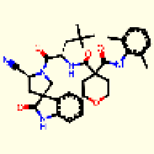 Cc1cccc(C)c1NC(=O)C1(C(=O)N[C@@H](CC(C)(C)C)C(=O)N2C[C@]3(C[C@H]2C#N)C(=O)Nc2ccccc23)CCOCC1